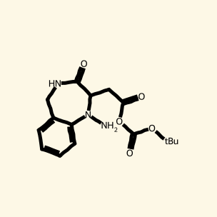 CC(C)(C)OC(=O)OC(=O)CC1C(=O)NCc2ccccc2N1N